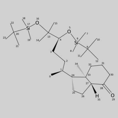 C[C@@H](CC[C@H](O[Si](C)(C)C(C)(C)C)C(C)(C)O[Si](C)(C)C(C)(C)C)[C@H]1CC[C@H]2C(=O)CCC[C@]12C